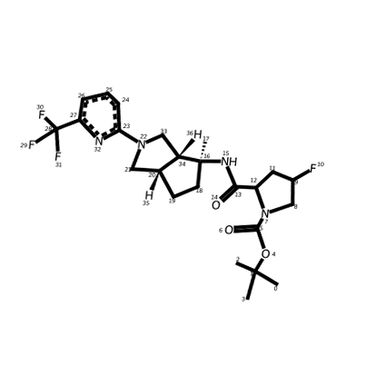 CC(C)(C)OC(=O)N1CC(F)CC1C(=O)N[C@@]1(C)CC[C@@H]2CN(c3cccc(C(F)(F)F)n3)C[C@@H]21